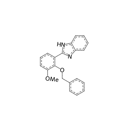 COc1cccc(-c2nc3ccccc3[nH]2)c1OCc1ccccc1